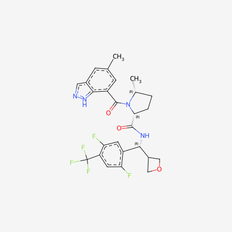 Cc1cc(C(=O)N2[C@H](C)CC[C@@H]2C(=O)N[C@@H](c2cc(F)c(C(F)(F)F)cc2F)C2COC2)c2[nH]ncc2c1